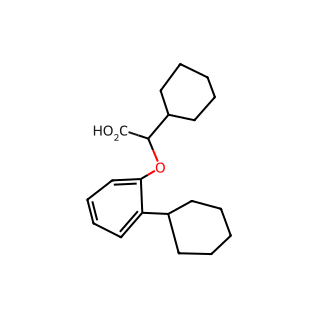 O=C(O)C(Oc1ccccc1C1CCCCC1)C1CCCCC1